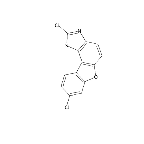 Clc1ccc2c(c1)oc1ccc3nc(Cl)sc3c12